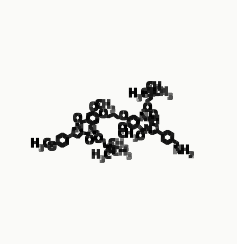 COc1ccc(C2=CN3C(=O)c4cc(OC)c(OCCCOc5cc6c(cc5OC)C(=O)N5C=C(c7ccc(CN)cc7)C[C@H]5C(=O)N6COCC[Si](C)(C)C)cc4N(COCC[Si](C)(C)C)C(=O)C3C2)cc1